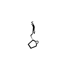 S=C=NC[C@H]1CCCO1